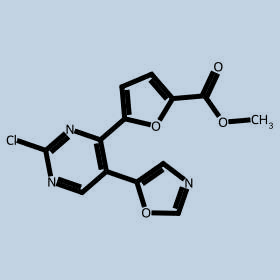 COC(=O)c1ccc(-c2nc(Cl)ncc2-c2cnco2)o1